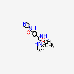 CC(C)C(C)NC(=O)CC(N)c1ccc(C(=O)Nc2ccncc2)cc1